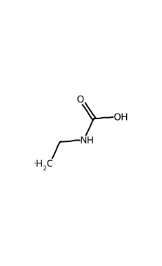 [CH2]CNC(=O)O